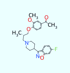 COc1cc(C(C)=O)ccc1OC[C@@H](C)CN1CCC(c2noc3cc(F)ccc23)CC1